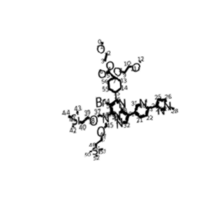 COCCOC(=O)[C@]1(OCCOC)CC[C@@H](c2nc3c(-c4ccc(-c5ccn(C)n5)nc4)cnn3c(N(COCC[Si](C)(C)C)COCC[Si](C)(C)C)c2Br)CC1